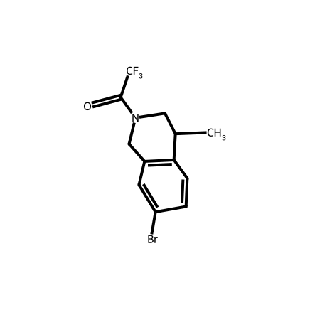 CC1CN(C(=O)C(F)(F)F)Cc2cc(Br)ccc21